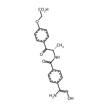 C[C@H](NC(=O)c1ccc(/C(N)=N/O)cc1)C(=O)c1ccc(OCC(=O)O)cc1